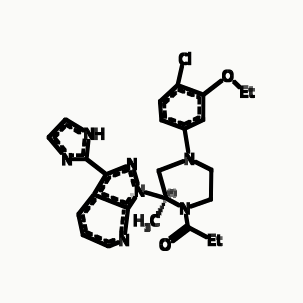 CCOc1cc(N2CCN(C(=O)CC)[C@@](C)(n3nc(-c4ncc[nH]4)c4cccnc43)C2)ccc1Cl